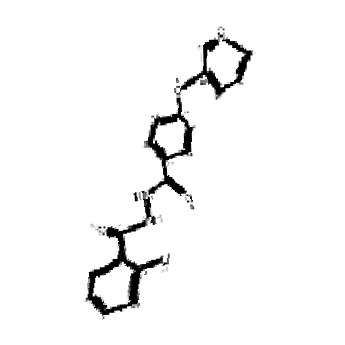 O=C(NNC(=O)c1ccccc1Cl)c1ccc(Oc2cccnc2)cc1